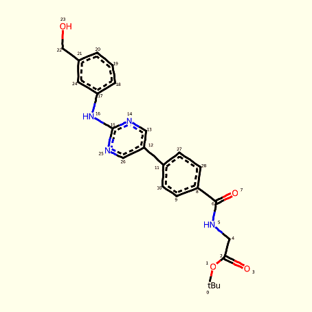 CC(C)(C)OC(=O)CNC(=O)c1ccc(-c2cnc(Nc3cccc(CO)c3)nc2)cc1